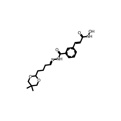 CC1(C)COC(CCC/C=N/NC(=O)c2cccc(/C=C/C(=O)NO)c2)OC1